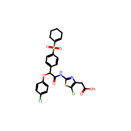 O=C(O)Cc1nc(NC(=O)C(Oc2ccc(Cl)cc2)c2ccc(S(=O)(=O)C3=CCCCC3)cc2)sc1Cl